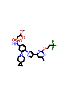 COC(=O)CS(=O)(=O)Nc1ccc(-n2cc(-c3cc(C)nc(OCCC(F)(F)F)n3)cn2)c(N2CCC3(CC2)CC3)c1